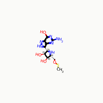 CSOC[C@H]1N[C@@H](c2[nH]nc3c(O)nc(N)nc23)[C@H](O)[C@@H]1O